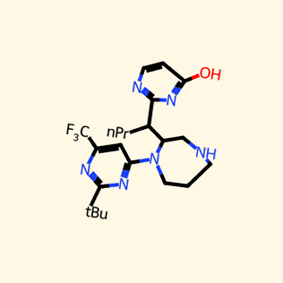 CCCC(c1nccc(O)n1)C1CNCCCN1c1cc(C(F)(F)F)nc(C(C)(C)C)n1